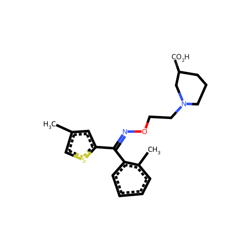 Cc1csc(C(=NOCCN2CCCC(C(=O)O)C2)c2ccccc2C)c1